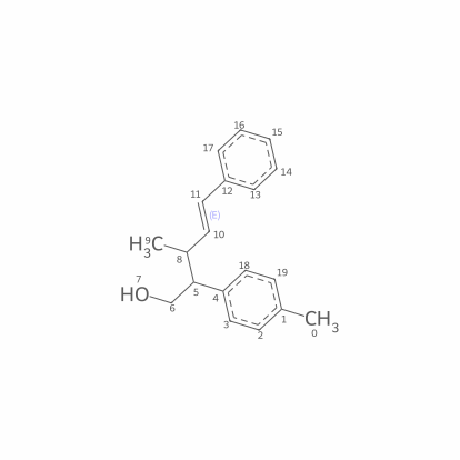 Cc1ccc(C(CO)C(C)/C=C/c2ccccc2)cc1